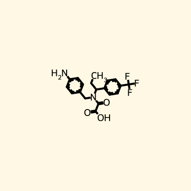 CCC(c1ccc(C(F)(F)F)cc1)N(Cc1ccc(N)cc1)C(=O)C(=O)O